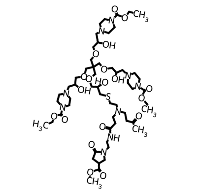 CCOC(=O)N1CCN(CC(O)COCC(COCC(O)CSCCN(CCC(C)=O)CCC(=O)NCCN2CC(C(=O)OC)CC2=O)(COCC(O)CN2CCN(C(=O)OCC)CC2)COCC(O)CN2CCN(C(=O)OCC)CC2)CC1